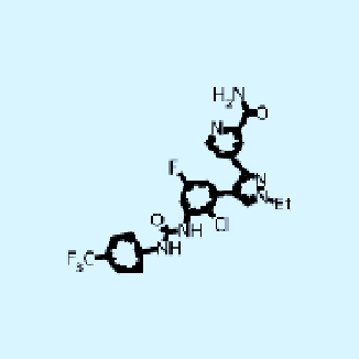 CCn1cc(-c2cc(F)cc(NC(=O)Nc3ccc(C(F)(F)F)cc3)c2Cl)c(-c2ccnc(C(N)=O)c2)n1